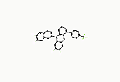 Fc1cc2ccc(-c3c4cc(F)c(F)cc4cc4c(-c5ccc(C(F)(F)F)cc5)cccc34)cc2cc1F